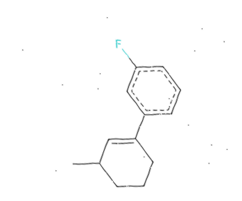 CC1C=C(c2cccc(F)c2)CCC1